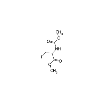 COC(=O)N[C@@H](CI)C(=O)OC